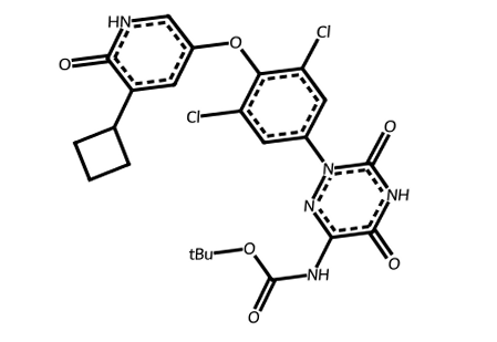 CC(C)(C)OC(=O)Nc1nn(-c2cc(Cl)c(Oc3c[nH]c(=O)c(C4CCC4)c3)c(Cl)c2)c(=O)[nH]c1=O